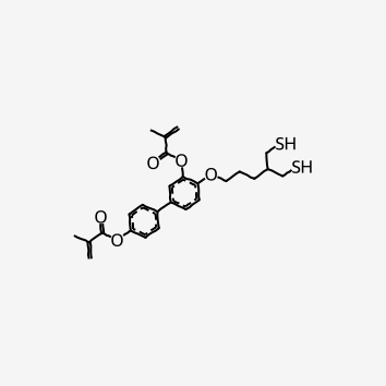 C=C(C)C(=O)Oc1ccc(-c2ccc(OCCCC(CS)CS)c(OC(=O)C(=C)C)c2)cc1